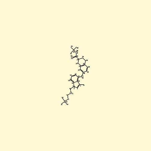 Cc1cn(COCC[Si](C)(C)C)c2nccc(Oc3ccc4c(c3)CC(C(=O)OC(C)(C)C)CC4)c12